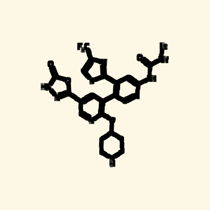 CCNC(=O)Nc1cc(-c2nc(C(F)(F)F)cs2)c(-c2cc(-c3n[nH]c(=O)o3)cnc2OC2CCNCC2)cn1